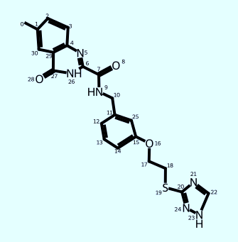 Cc1ccc2nc(C(=O)NCc3cccc(OCCSc4nc[nH]n4)c3)[nH]c(=O)c2c1